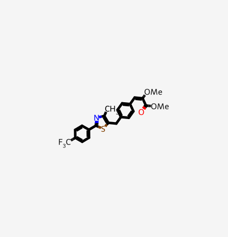 COC(=O)C(=Cc1ccc(Cc2sc(-c3ccc(C(F)(F)F)cc3)nc2C)cc1)OC